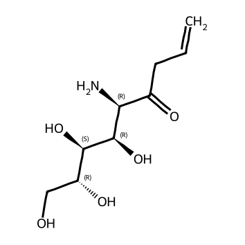 C=CCC(=O)[C@H](N)[C@@H](O)[C@H](O)[C@H](O)CO